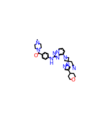 CN1CCN(C(=O)c2ccc(Nc3nc4c(N5CC(CC#N)(n6cc(C7CCOCC7)cn6)C5)cccn4n3)cc2)CC1